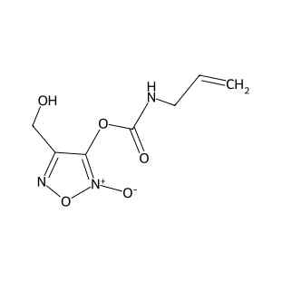 C=CCNC(=O)Oc1c(CO)no[n+]1[O-]